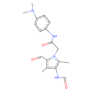 Cc1c(NC=O)c(C)n(CC(=O)Nc2ccc(N(C)C)cc2)c1C=O